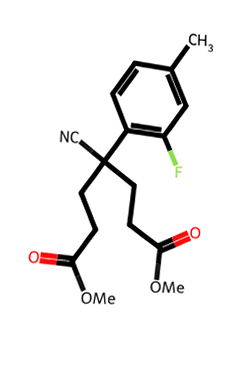 COC(=O)CCC(C#N)(CCC(=O)OC)c1ccc(C)cc1F